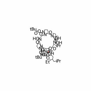 CCC1OC(O)(C(C)(O)C(=O)NC2C(=O)N3C(CCCN3COC(=O)C(C)(C)C)C(=O)N(O)CC(=O)N3C(CCCN3COC(=O)C(C)(C)C)C(=O)N3CCC(C)(O)C3C(=O)N(O)C(C(C)C)C(=O)OC2C(C)C)CCC1CC(C)C